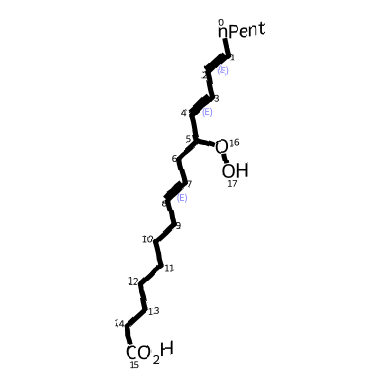 CCCCC/C=C/C=C/C(C/C=C/CCCCCCC(=O)O)OO